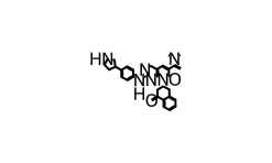 C=C(c1cc2cnc(Nc3ccc(C4CCNC4)cc3)nc2n(C2CC(=O)c3ccccc3C2)c1=O)N(C)C